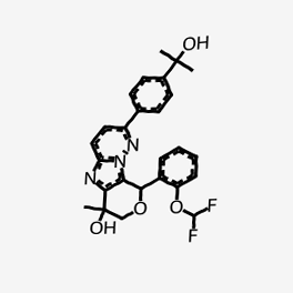 CC(C)(O)c1ccc(-c2ccc3nc4c(n3n2)C(c2ccccc2OC(F)F)OCC4(C)O)cc1